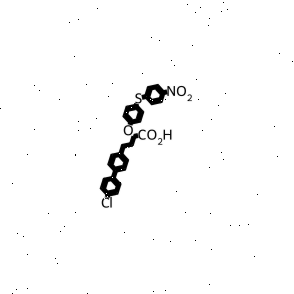 O=C(O)C(CCc1ccc(-c2ccc(Cl)cc2)cc1)Oc1ccc(Sc2ccc([N+](=O)[O-])cc2)cc1